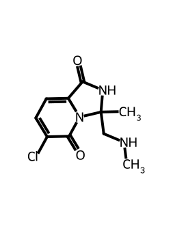 CNCC1(C)NC(=O)c2ccc(Cl)c(=O)n21